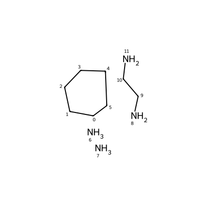 C1CCCCC1.N.N.NCCN